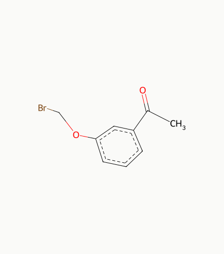 CC(=O)c1cccc(OCBr)c1